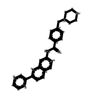 O=C(Nc1cc2nc(-c3cnccn3)ccc2cn1)c1ccc(CN2CCOCC2)cc1